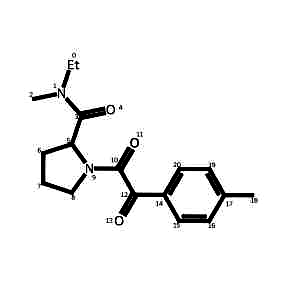 CCN(C)C(=O)C1CCCN1C(=O)C(=O)c1ccc(C)cc1